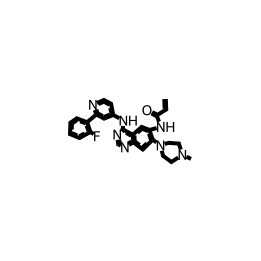 C=CC(=O)Nc1cc2c(Nc3ccnc(-c4ccccc4F)c3)ncnc2cc1N1CCN(C)CC1